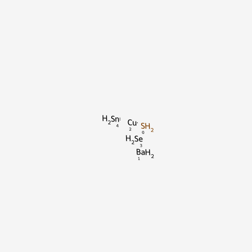 S.[BaH2].[Cu].[SeH2].[SnH2]